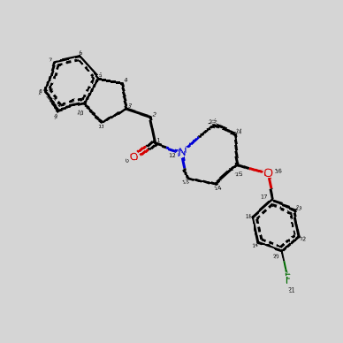 O=C(CC1Cc2ccccc2C1)N1CCC(Oc2ccc(F)cc2)CC1